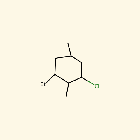 CCC1CC(C)CC(Cl)C1C